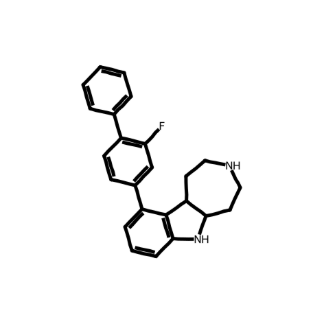 Fc1cc(-c2cccc3c2C2CCNCCC2N3)ccc1-c1ccccc1